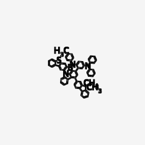 Cc1ccc(N2B3c4cc5sc6ccccc6c5cc4-n4c5ccccc5c5c(-c6ccc7c(c6)C(C)(C)c6ccccc6-7)cc(c3c54)-c3cc(N(c4ccccc4)c4ccccc4)ccc32)cc1